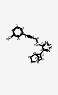 Fc1cccc(C#CCSc2nsnc2C2CN3CCC2C3)c1